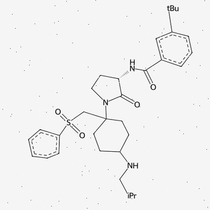 CC(C)CNC1CCC(CS(=O)(=O)c2ccccc2)(N2CC[C@H](NC(=O)c3cccc(C(C)(C)C)c3)C2=O)CC1